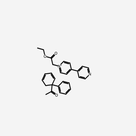 CC(=O)C1(c2ccccc2)C=CC=CC1.CCOC(=O)C[n+]1ccc(-c2ccncc2)cc1